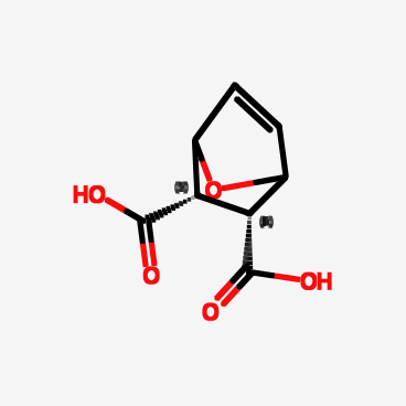 O=C(O)[C@@H]1C2C=CC(O2)[C@@H]1C(=O)O